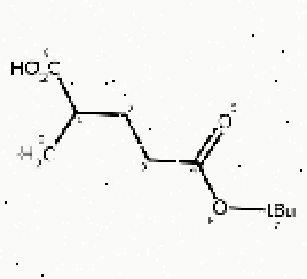 [CH2]C(CCC(=O)OC(C)(C)C)C(=O)O